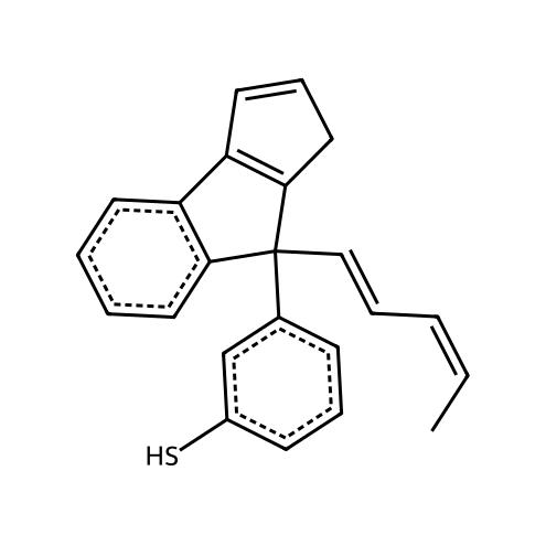 C/C=C\C=C\C1(c2cccc(S)c2)C2=C(C=CC2)c2ccccc21